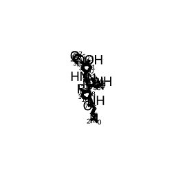 CN(C)C/C=C/C(=O)Nc1ccc(F)c(-c2nc(Nc3ccc(O)c(N4CCOCC4)c3)nc3[nH]ncc23)c1